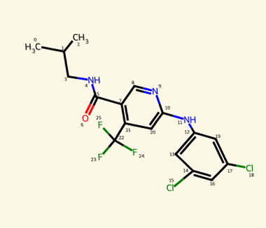 CC(C)CNC(=O)c1cnc(Nc2cc(Cl)cc(Cl)c2)cc1C(F)(F)F